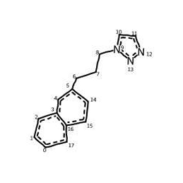 c1ccc2cc(CCCn3ccnn3)ccc2c1